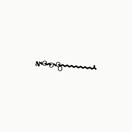 CC(C)CCCCCCCCCCCCCCC(=O)OCCOCCOCC[N+](C)(C)C